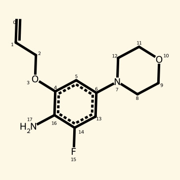 C=CCOc1cc(N2CCOCC2)cc(F)c1N